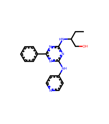 CCC(CO)Nc1nc(Nc2ccncc2)nc(-c2ccccc2)n1